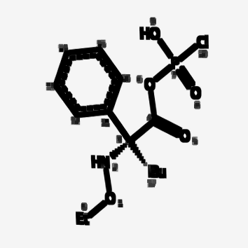 CCON[C@@](C(=O)OP(=O)(O)Cl)(c1ccccc1)[C@@H](C)CC